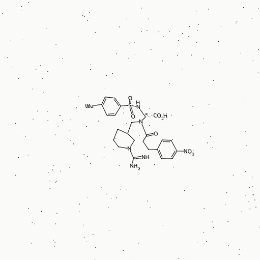 CC(C)(C)c1ccc(S(=O)(=O)N[C@H](C(=O)O)N(CC2CCCN(C(=N)N)C2)C(=O)CCc2ccc([N+](=O)[O-])cc2)cc1